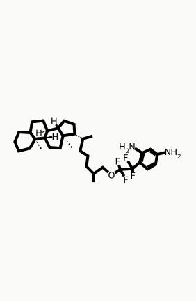 CC(CCCC(C)[C@H]1CC[C@H]2[C@@H]3CCC4CCCC[C@]4(C)[C@H]3CC[C@]12C)COC(F)(F)C(F)(F)c1ccc(N)cc1N